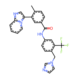 Cc1ccc(C(=O)Nc2ccc(Cn3ccnc3)c(C(F)(F)F)c2)cc1-c1cnc2ccccn12